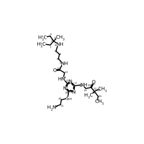 CCC(C)(CC)NCCCNC(=O)CNc1nc(NCC(=O)C(C)(C)CC)nc(SCCN)n1